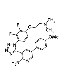 COc1ccc(-c2cnc(N)c(-c3nnnn3-c3ccc(OCCN(C)C)c(F)c3F)c2)cc1